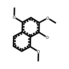 COc1cc(OC)c2cccc(OC)c2c1[O]